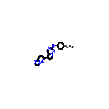 CO[C@H]1CC[C@@H](Nc2ncc3c(-c4ccc5nccn5n4)ccn3n2)CC1